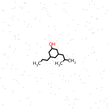 CCCC1CC(O)CC(CC(C)C)C1